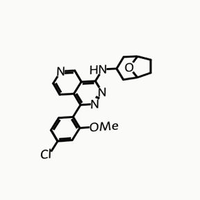 COc1cc(Cl)ccc1-c1nnc(NC2CC3CCC(C2)O3)c2cnccc12